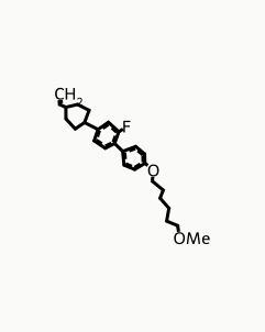 C=CC1CCC(c2ccc(-c3ccc(OCCCCCCOC)cc3)c(F)c2)CC1